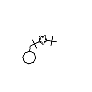 CC(C)(C)c1nsc(C(C)(C)CC2CCCCCCC2)n1